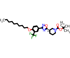 CCCCCCCCCCOc1ccc(-c2noc([C@@H]3CCCN(C(=O)OC(C)(C)C)C3)n2)cc1C(F)(F)F